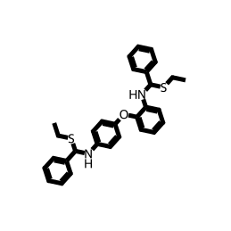 CCSC(Nc1ccc(Oc2ccccc2NC(SCC)c2ccccc2)cc1)c1ccccc1